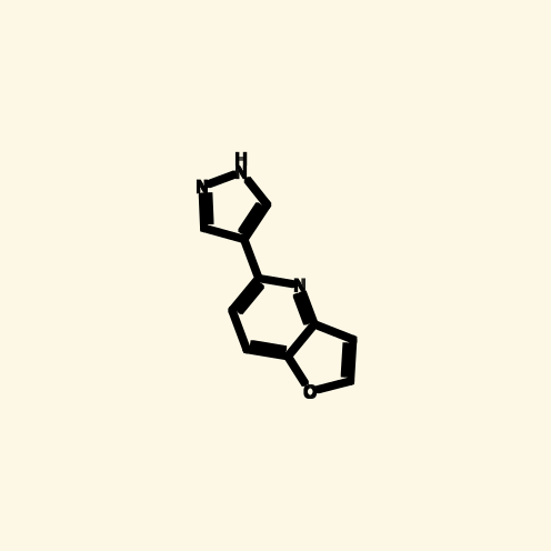 c1cc2nc(-c3cn[nH]c3)ccc2o1